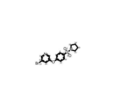 O=S(=O)(c1ccc(Oc2cncc(Br)c2)cc1)N1CCCC1